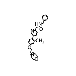 Cc1cc(OCCN2C3CCC2COC3)ccc1-c1ccc(CC(=O)NCc2ccccc2)nc1